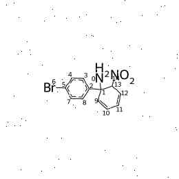 NC1(c2ccc(Br)cc2)C=CC=CC1[N+](=O)[O-]